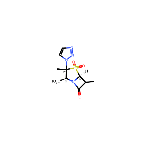 CC1C(=O)N2[C@@H](C(=O)O)[C@](C)(n3ccnn3)S(=O)(=O)[C@@H]12